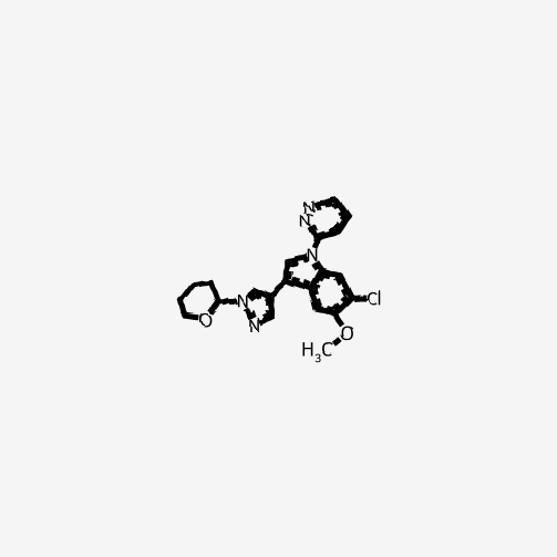 COc1cc2c(-c3cnn(C4CCCCO4)c3)cn(-c3cccnn3)c2cc1Cl